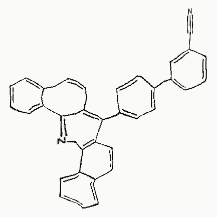 N#Cc1cccc(-c2ccc(-c3c4ccc5ccccc5c4nc4c3ccc3ccccc34)cc2)c1